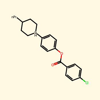 CCCC1CC[SiH](c2ccc(OC(=O)c3ccc(Cl)cc3)cc2)CC1